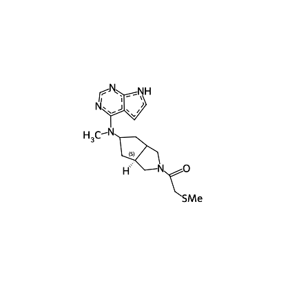 CSCC(=O)N1CC2CC(N(C)c3ncnc4[nH]ccc34)C[C@@H]2C1